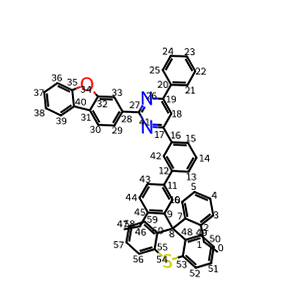 CCc1ccccc1C1(c2cc(-c3cccc(-c4cc(-c5ccccc5)nc(-c5ccc6c(c5)oc5ccccc56)n4)c3)ccc2CC)c2ccccc2Sc2ccccc21